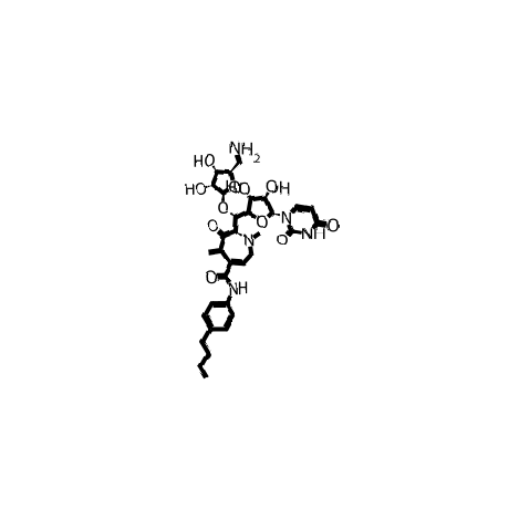 CCCCc1ccc(NC(=O)C2=CCN(C)[C@@H]([C@H](O[C@@H]3O[C@H](CN)[C@@H](O)[C@H]3O)C3O[C@@H](n4ccc(=O)[nH]c4=O)[C@H](O)[C@@H]3O)C(=O)C2C)cc1